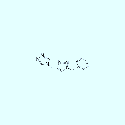 c1ccc(Cn2cc(Cn3cnnn3)nn2)cc1